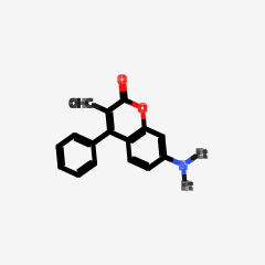 CCN(CC)c1ccc2c(-c3ccccc3)c(C=O)c(=O)oc2c1